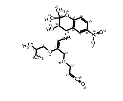 CC(C)CO/C(=C/N[C@H]1c2cc([N+](=O)[O-])ccc2OC(C)(C)[C@@H]1O)COCC=C=O